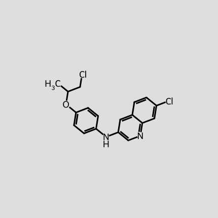 CC(CCl)Oc1ccc(Nc2cnc3cc(Cl)ccc3c2)cc1